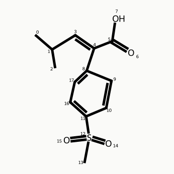 CC(C)/C=C(/C(=O)O)c1ccc(S(C)(=O)=O)cc1